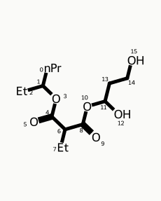 CCCC(CC)OC(=O)C(CC)C(=O)OC(O)CCO